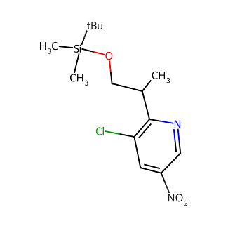 CC(CO[Si](C)(C)C(C)(C)C)c1ncc([N+](=O)[O-])cc1Cl